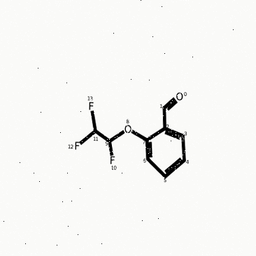 O=Cc1ccccc1OC(F)C(F)F